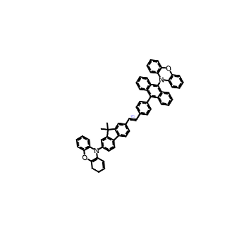 CC1(C)c2cc(/C=C/c3ccc(-c4c5ccccc5c(N5c6ccccc6Oc6ccccc65)c5ccccc45)cc3)ccc2-c2ccc(N3C4=C(CCC=C4)Oc4ccccc43)cc21